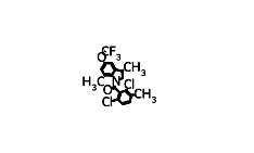 Cc1ccc(Cl)c(C(=O)N2CC(C)c3cc(OC(F)(F)F)cc(C)c32)c1Cl